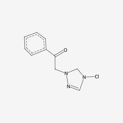 O=C(CN1CN(Cl)C=N1)c1ccccc1